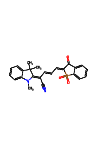 CN1/C(=C(C#N)/C=C/C=C2/C(=O)c3ccccc3S2(=O)=O)C(C)(C)c2ccccc21